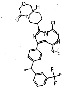 C[C@@H](c1ccc(-c2nc([C@@H]3CC[C@H]4COCC(=O)N4C3)n3c(Cl)cnc(N)c23)cc1)c1cccc(C(F)(F)F)c1